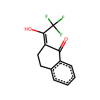 O=C1C(=C(O)C(F)(F)F)CCc2ccccc21